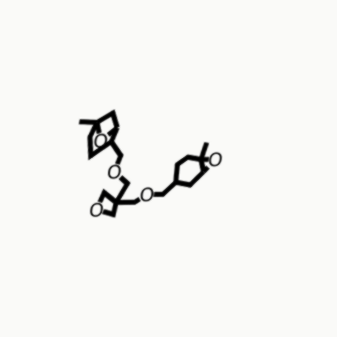 CC12CCC(COCC3(COCC4CCC5(C)OC5C4)COC3)C(C1)O2